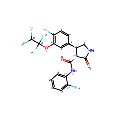 O=C1NC[C@H](c2ccc(F)c(OC(F)(F)C(F)F)c2)[C@H]1C(=O)Nc1ccccc1F